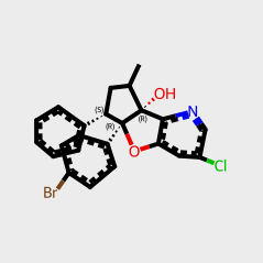 CC1C[C@@H](c2ccccc2)[C@]2(c3ccc(Br)cc3)Oc3cc(Cl)cnc3[C@]12O